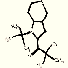 CC(C)(C)C(=O)C1CC2CSCCC2N1C(C)(C)C